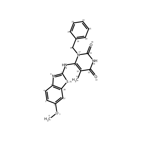 COc1ccc2nc(Nc3c(C)c(=O)[nH]c(=O)n3Cc3ccccc3)sc2c1